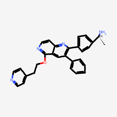 C[C@@H](N)c1ccc(-c2nc3ccnc(OCCc4ccncc4)c3cc2-c2ccccc2)cc1